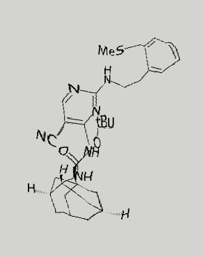 CSc1ccccc1CNc1ncc(C#N)c(NC[C@]23CC4C[C@H](C2)[C@@H](NC(=O)OC(C)(C)C)[C@@H](C4)C3)n1